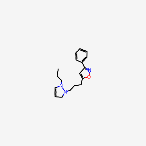 CCCN1C=CCN1CCCc1cc(-c2ccccc2)no1